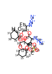 CCC(N=[N+]=[N-])[C@@H](O[C@H]1OC2COC3(CCCCC3)O[C@H]2[C@H](OS(=O)(=O)C(F)(F)F)C1N=[N+]=[N-])[C@@H](C)OC1(O)CCCCC1